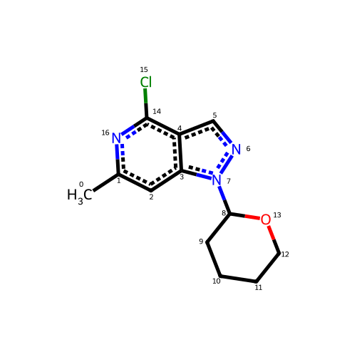 Cc1cc2c(cnn2C2CCCCO2)c(Cl)n1